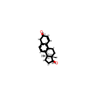 C[C@]12CCc3c(ccc4c3C=CC(=O)C4)[C@@H]1CCC2=O